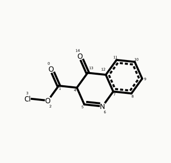 O=C(OCl)C1C=Nc2ccccc2C1=O